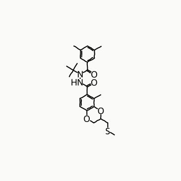 CSCC1COc2ccc(C(=O)NN(C(=O)c3cc(C)cc(C)c3)C(C)(C)C)c(C)c2O1